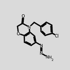 NN=Nc1ccc2c(c1)N(Cc1ccc(Cl)cc1)C(=O)CO2